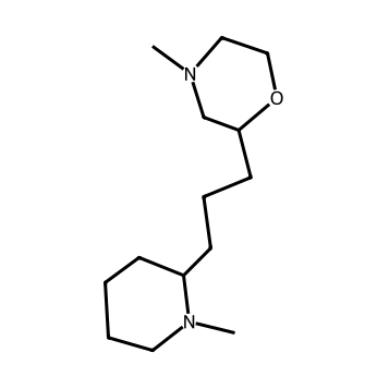 CN1CCOC(CCCC2CCCCN2C)C1